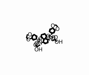 O=C(O)CN(c1ccc(N(CC(=O)O)S(=O)(=O)c2ccc3c(c2)OCCO3)c2ccccc12)S(=O)(=O)c1ccc2c(c1)OCCO2